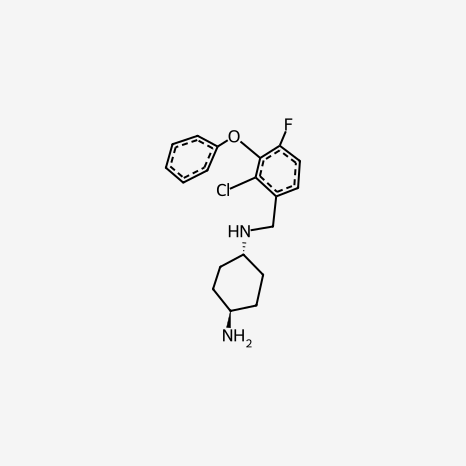 N[C@H]1CC[C@H](NCc2ccc(F)c(Oc3ccccc3)c2Cl)CC1